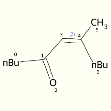 CCCCC(=O)/C=C(/C)CCCC